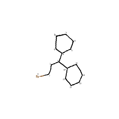 BrCC[C](C1CCCCC1)C1CCCCC1